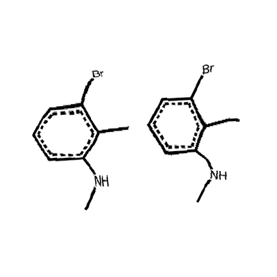 CNc1cccc(Br)c1C.CNc1cccc(Br)c1C